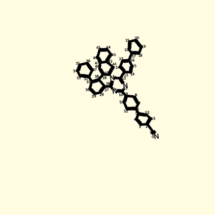 N#Cc1ccc(-c2ccc(-c3nc(-c4ccc(-c5ccccc5)cc4)nc(-c4cccc(-c5ccccc5)c4-c4ccc5ccccc5c4)n3)cc2)cc1